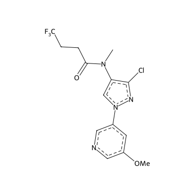 COc1cncc(-n2cc(N(C)C(=O)CCC(F)(F)F)c(Cl)n2)c1